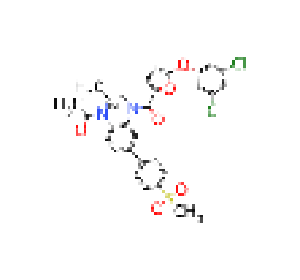 CC(=O)N1c2ccc(-c3ccc(S(C)(=O)=O)cc3)cc2N(C(=O)c2ccc(Oc3cc(Cl)cc(Cl)c3)o2)C[C@@H]1C